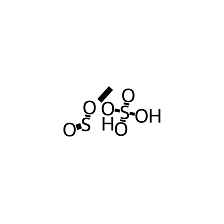 C=C.O=S(=O)(O)O.O=S=O